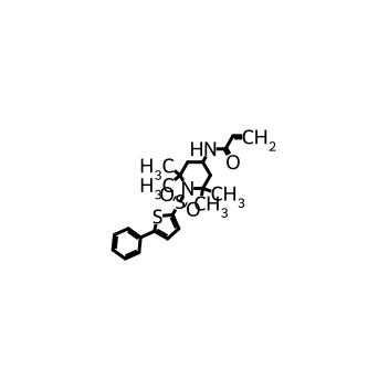 C=CC(=O)NC1CC(C)(C)N(S(=O)(=O)c2ccc(-c3ccccc3)s2)C(C)(C)C1